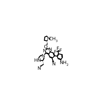 CN1CCC[C@H]1COc1nc(N2CCN[C@@H](CC#N)C2)c2cc(C#N)c(-c3cc(N)ccc3C(F)(F)F)cc2n1